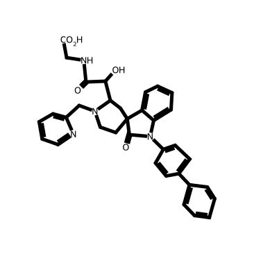 O=C(O)CNC(=O)C(O)C1CC2(CCN1Cc1ccccn1)C(=O)N(c1ccc(-c3ccccc3)cc1)c1ccccc12